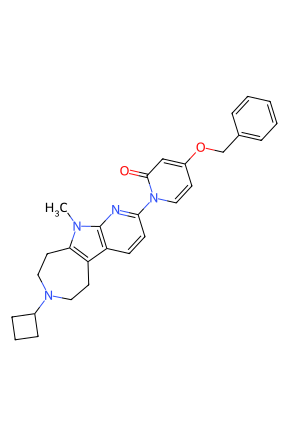 Cn1c2c(c3ccc(-n4ccc(OCc5ccccc5)cc4=O)nc31)CCN(C1CCC1)CC2